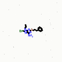 C=CCn1c(Br)nc2c(N)nc(SCCCc3ccccc3)nc21